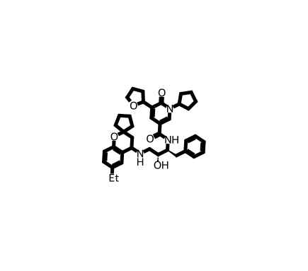 CCc1ccc2c(c1)C(NC[C@@H](O)[C@H](Cc1ccccc1)NC(=O)c1cc(C3CCCO3)c(=O)n(C3CCCC3)c1)CC1(CCCC1)O2